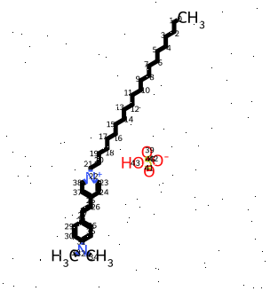 CCCCCCCCCCCCCCCCCCCCCC[n+]1ccc(C=Cc2ccc(N(C)C)cc2)cc1.O=S(=O)([O-])O